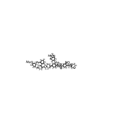 COc1ccc(CN2CCN(C3CC4(CCN(c5ccc(C(=O)NS(=O)(=O)c6ccc(NC[C@H]7COCCO7)c([N+](=O)[O-])c6)c(Oc6cnc7[nH]ccc7c6)c5)CC4)C3)[C@@H](c3ccccc3C(C)C)C2)cc1